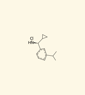 CC(C)c1cccc([C@@H](NCl)C2CC2)c1